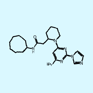 CC(C)c1cc(N2CCCCC2CC(=O)NC2CCCCCCC2)nc(-n2ccnc2)n1